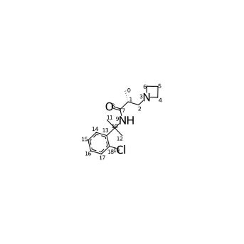 C[C@H](CN1CCC1)C(=O)NC(C)(C)c1ccccc1Cl